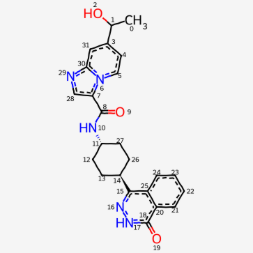 CC(O)c1ccn2c(C(=O)N[C@H]3CC[C@H](c4n[nH]c(=O)c5ccccc54)CC3)cnc2c1